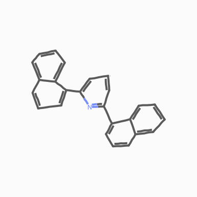 [c]1cc(-c2cccc3ccccc23)nc(-c2cccc3ccccc23)c1